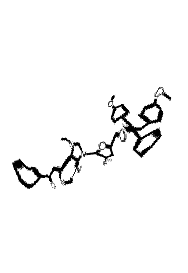 COc1ccc(C(OCC2C[C@@H](F)C(N3CN(C)c4c(CC(=O)c5ccccc5)ncnc43)O2)(c2ccccc2)c2ccc(OC)cc2)cc1